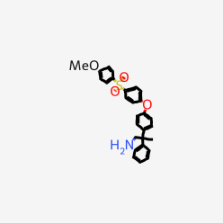 COc1ccc(S(=O)(=O)c2ccc(Oc3ccc(C(C)(CN)c4ccccc4)cc3)cc2)cc1